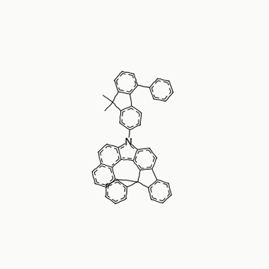 CC1(C)c2cc(-n3c4ccc5c6c4c4c7c(cccc7ccc43)C6(c3ccccc3)c3ccccc3-5)ccc2-c2c(-c3ccccc3)cccc21